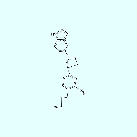 C=CCCc1ccc(C2=NC(c3ccc4[nH]ccc4c3)=NC2)cc1C#N